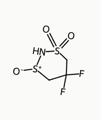 O=S1(=O)CC(F)(F)C[S+]([O-])N1